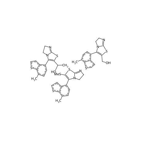 CSC1=C(c2ccc(C)c3sccc23)N2CCN=C2S1.Cc1ccc(C2=C(C(C)O)SC3=NCCN32)c2ccsc12.Cc1ccc(C2=C(CO)SC3=NCCN32)c2ccsc12